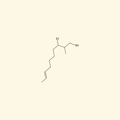 CC=CCCCCC(CC)C(C)CS